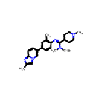 Cc1cn2cc(-c3ccc(/N=C(/C4CCN(C)CC4)N(C)C=O)c(C)c3)ccc2n1